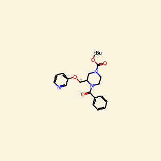 CC(C)(C)OC(=O)N1CCN(C(=O)c2ccccc2)C(COc2cccnc2)C1